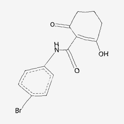 O=C1CCCC(O)=C1C(=O)Nc1ccc(Br)cc1